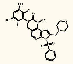 CCN1C(=O)N(c2c(F)c(O)cc(O)c2F)Cc2cnc3c(cc(CN4CCOCC4)n3S(=O)(=O)c3ccccc3)c21